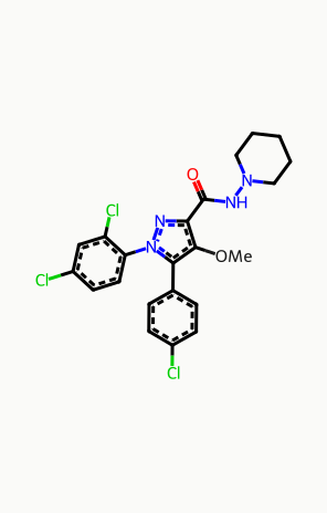 COc1c(C(=O)NN2CCCCC2)nn(-c2ccc(Cl)cc2Cl)c1-c1ccc(Cl)cc1